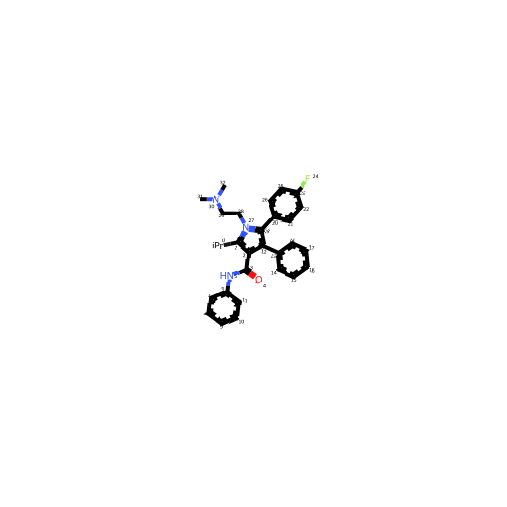 CC(C)c1c(C(=O)Nc2ccccc2)c(-c2ccccc2)c(-c2ccc(F)cc2)n1CCN(C)C